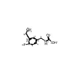 O=C(O)NCc1ccc(F)c(CO)c1